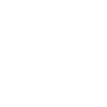 Clc1ccc(I)cc1Cc1ccc(C2CC2)cc1